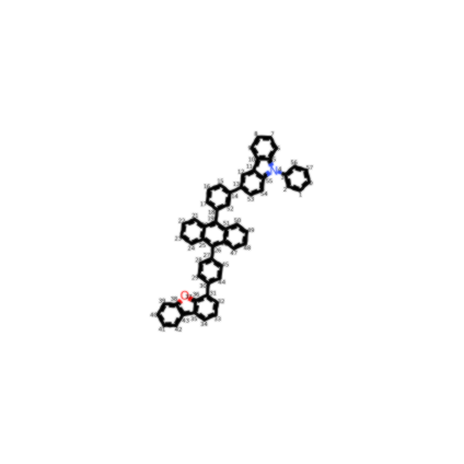 c1ccc(-n2c3ccccc3c3cc(-c4cccc(-c5c6ccccc6c(-c6ccc(-c7cccc8c7oc7ccccc78)cc6)c6ccccc56)c4)ccc32)cc1